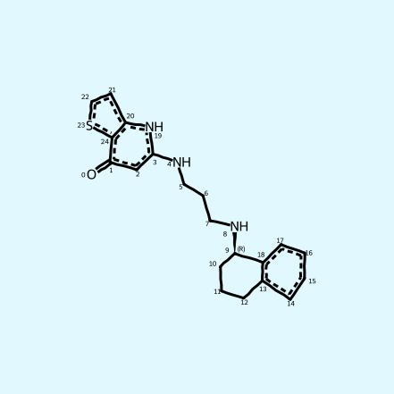 O=c1cc(NCCCN[C@@H]2CCCc3ccccc32)[nH]c2ccsc12